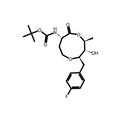 C[C@@H]1OC(=O)[C@@H](NC(=O)OC(C)(C)C)CCO[C@H](Cc2ccc(F)cc2)[C@H]1O